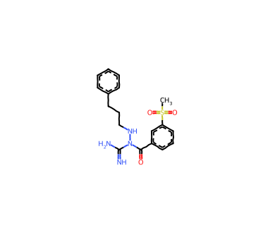 CS(=O)(=O)c1cccc(C(=O)N(NCCCc2ccccc2)C(=N)N)c1